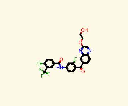 O=C(Nc1ccc(C(=O)c2ccc3ncc(OCCO)nc3c2)c(F)c1)c1ccc(Cl)c(C(F)(F)F)c1